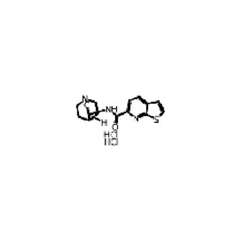 Cl.Cl.O=C(N[C@H]1CN2CCC1CC2)c1ccc2ccsc2n1